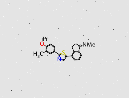 CN[C@H]1CCc2c(-c3cnc(-c4ccc(OC(C)C)c(C)c4)s3)cccc21